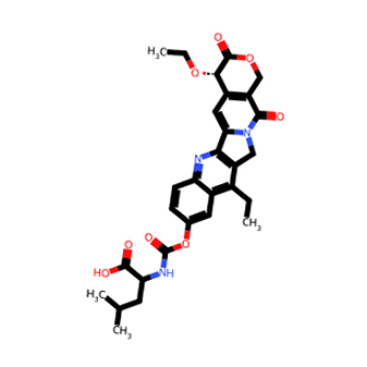 CCO[C@@H]1C(=O)OCc2c1cc1n(c2=O)Cc2c-1nc1ccc(OC(=O)NC(CC(C)C)C(=O)O)cc1c2CC